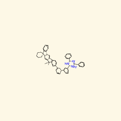 CC1(C)C2=CC3C(C=C2c2ccc(C4=CC=CC(c5cccc(C6NC(c7ccccc7)=NC(c7ccccc7)N6)c5)C4)cc21)c1ccccc1C31CCCCC1